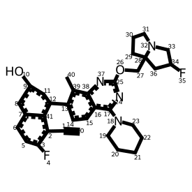 C#Cc1c(F)ccc2cc(O)cc(-c3ccc4c(N5CCCCC5)nc(OCC56CCCN5CC(F)C6)nc4c3C)c12